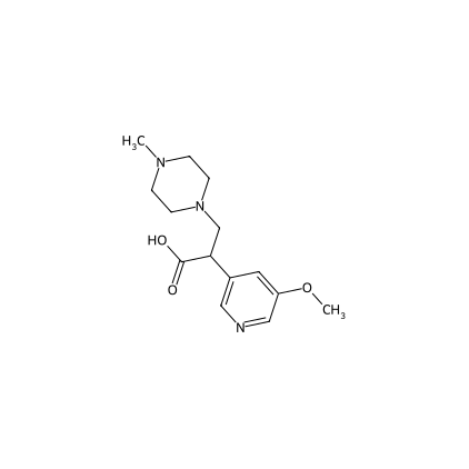 COc1cncc(C(CN2CCN(C)CC2)C(=O)O)c1